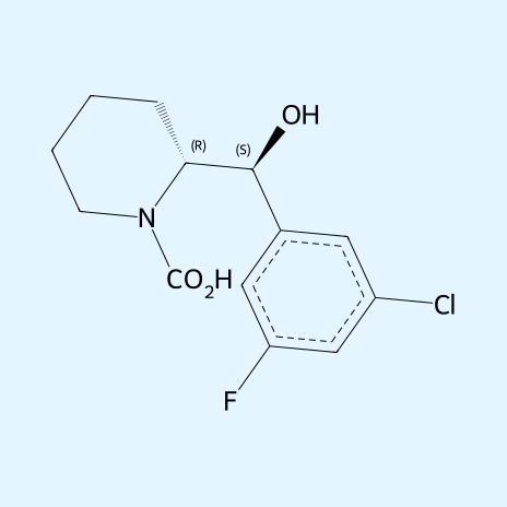 O=C(O)N1CCCC[C@@H]1[C@@H](O)c1cc(F)cc(Cl)c1